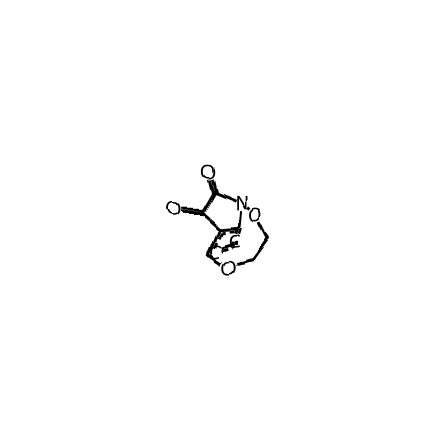 O=C1C(=O)N2OCCOc3cccc2c31